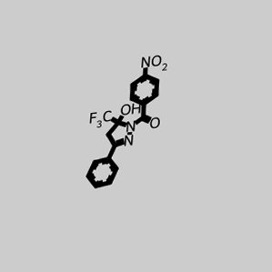 O=C(c1ccc([N+](=O)[O-])cc1)N1N=C(c2ccccc2)CC1(O)C(F)(F)F